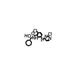 CN(c1ccc(Cl)c(C(=O)NC(O)C2CCCCCC2)c1)c1ccnc(Cl)n1